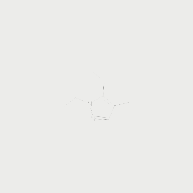 CCn1n[c]c(C)c1OC